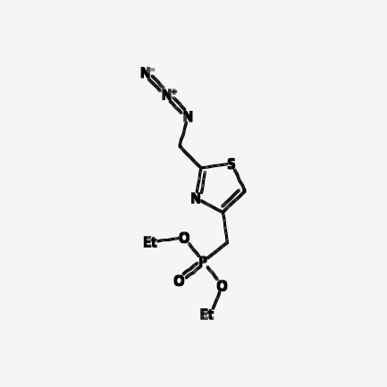 CCOP(=O)(Cc1csc(CN=[N+]=[N-])n1)OCC